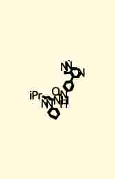 CC(C)c1cc(NC(=O)Nc2ccc(-c3cncc4c3cnn4C)cc2)n(-c2ccccc2)n1